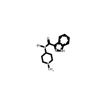 CC(C)N(C(=O)c1n[nH]c2ccccc12)C1CCN(C)CC1